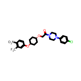 O=C(CO[C@H]1CC[C@H](Oc2ccc([N+](=O)[O-])c(C(F)(F)F)c2)CC1)N1CCN(c2ccc(Cl)cc2)CC1